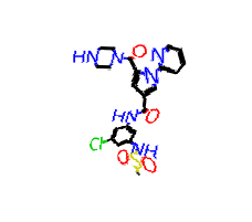 CS(=O)(=O)Nc1cc(Cl)cc(NC(=O)c2cc(C(=O)N3CCNCC3)n(-c3ccccn3)c2)c1